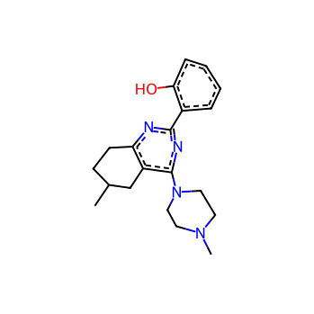 CC1CCc2nc(-c3ccccc3O)nc(N3CCN(C)CC3)c2C1